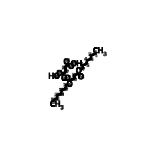 CCCCCCCCOC(=O)C=CC(=O)OCCCCCCCC.O=C(C=CC(=O)OO)OO